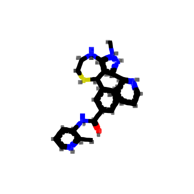 Cc1ccc(C(=O)Nc2cccnc2C)cc1C1SCCNc2c1c(-c1ccccn1)nn2C